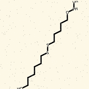 OCCCCCCSSCCCCCOPO